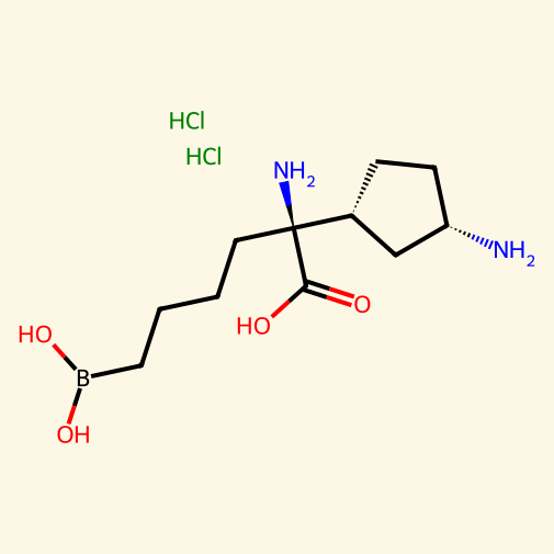 Cl.Cl.N[C@H]1CC[C@@H]([C@@](N)(CCCCB(O)O)C(=O)O)C1